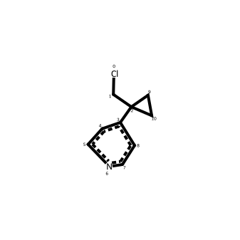 ClCC1(c2ccncc2)CC1